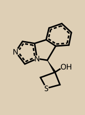 OC1([C@@H]2c3ccccc3-c3cncn32)CSC1